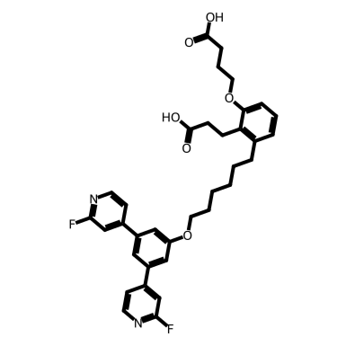 O=C(O)CCCOc1cccc(CCCCCCOc2cc(-c3ccnc(F)c3)cc(-c3ccnc(F)c3)c2)c1CCC(=O)O